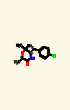 C[C@@H]1OC(C)(C)[C@H](Cc2ccc(Cl)cc2)NC1=O